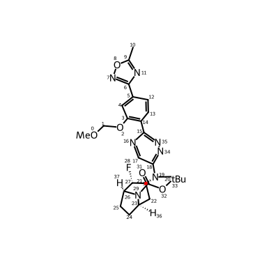 COCOc1cc(-c2noc(C)n2)ccc1-c1ncc(N(C)[C@@H]2C[C@H]3CC[C@@H]([C@@H]2F)N3C(=O)OC(C)(C)C)nn1